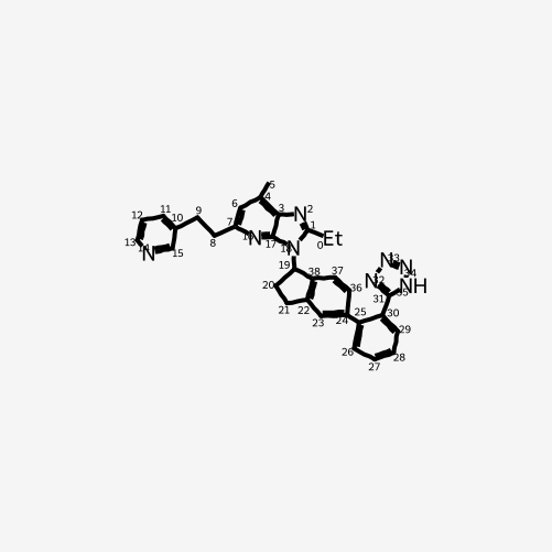 CCc1nc2c(C)cc(CCc3cccnc3)nc2n1C1CCc2cc(-c3ccccc3-c3nnn[nH]3)ccc21